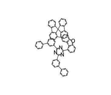 c1ccc(-c2cccc(-c3nc(-c4cccc(-c5ccccc5)c4)nc(-c4cccc5oc6ccc(-c7cccc8c7C7(c9ccccc9-c9ccccc97)c7ccccc7-8)cc6c45)n3)c2)cc1